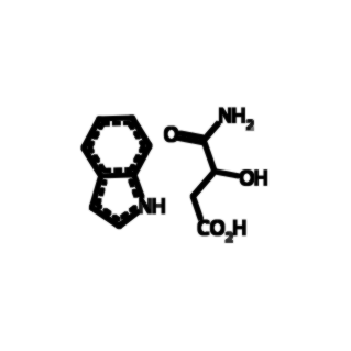 NC(=O)C(O)CC(=O)O.c1ccc2[nH]ccc2c1